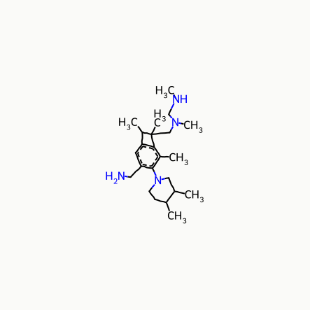 CNCN(C)CC1(C)c2c(cc(CN)c(N3CCC(C)C(C)C3)c2C)C1C